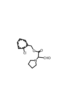 O=CC(C(=O)OCc1ccccc1Cl)N1CCCC1